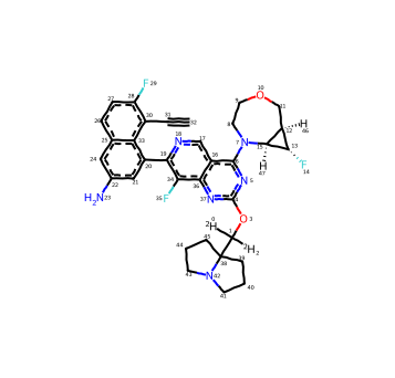 [2H]C([2H])(Oc1nc(N2CCOC[C@H]3[C@H](F)[C@H]32)c2cnc(-c3cc(N)cc4ccc(F)c(C#C)c34)c(F)c2n1)C12CCCN1CCC2